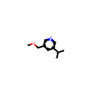 COCc1cncc(C(C)C)c1